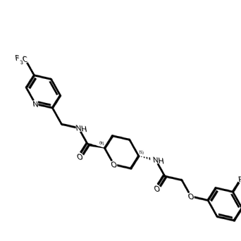 O=C(COc1ccc(Cl)c(F)c1)N[C@H]1CC[C@H](C(=O)NCc2ccc(C(F)(F)F)cn2)OC1